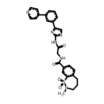 CN1CCCc2ccc(C(=O)NCC(=O)Nc3nc(-c4cccc(-c5ccncc5)c4)cs3)cc2S1(=O)=O